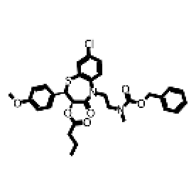 CCCC(=O)O[C@@H]1C(=O)N(CCN(C)C(=O)OCc2ccccc2)c2ccc(Cl)cc2S[C@@H]1c1ccc(OC)cc1